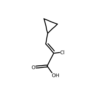 O=C(O)/C(Cl)=C/C1CC1